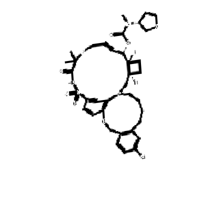 CN(C(=O)O[C@H]1/C=C/COC(C)(C)C(=O)NS(=O)(=O)c2ccc3c(c2)N(CCCCc2cc(Cl)ccc2CO3)C[C@@H]2CC[C@H]21)[C@@H]1CCOC1